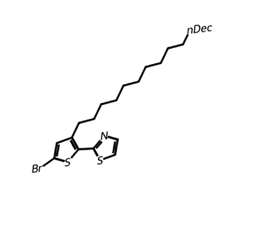 CCCCCCCCCCCCCCCCCCCCc1cc(Br)sc1-c1nccs1